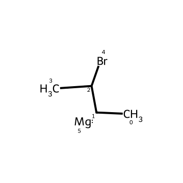 CCC(C)Br.[Mg]